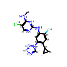 CNc1nc(Nc2cc(-n3cnnn3)c(C3CC3)cc2F)ncc1Cl